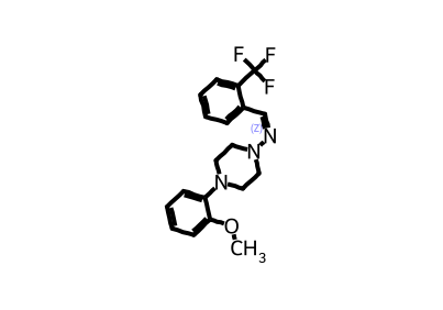 COc1ccccc1N1CCN(/N=C\c2ccccc2C(F)(F)F)CC1